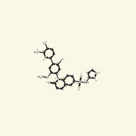 COc1cc(-c2ccc(Cl)c(C)n2)c(F)cc1-n1c(=O)ccc2cc(S(=O)(=O)Nc3ccon3)ccc21